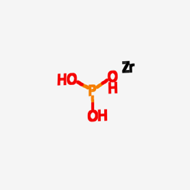 OP(O)O.[Zr]